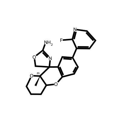 C[C@]12OCCCC1Oc1ccc(-c3cccnc3F)cc1C21COC(N)=N1